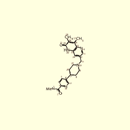 CNC(=O)c1ccc(C2CCN(Cc3cnc4c(C)c(C)c(=O)[nH]c4c3)CC2)cn1